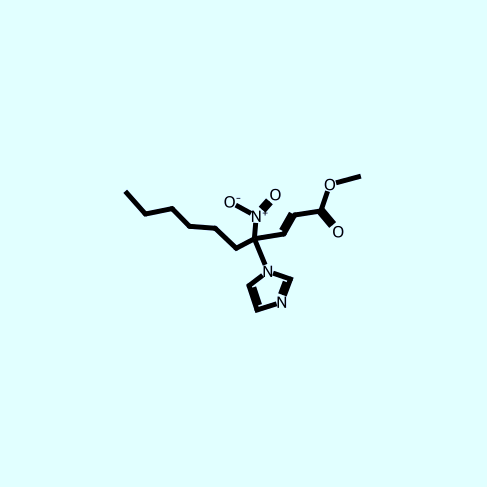 CCCCCCC(C=CC(=O)OC)(n1ccnc1)[N+](=O)[O-]